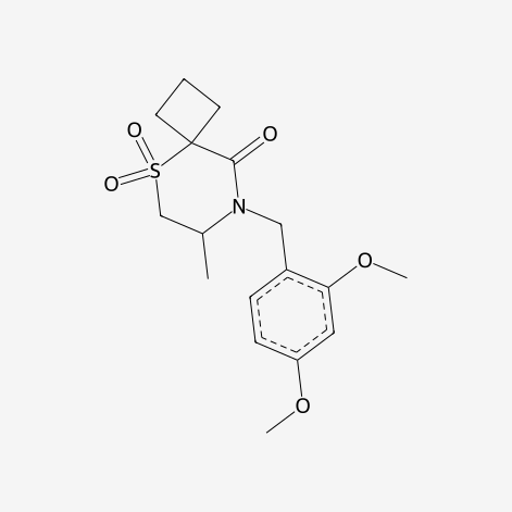 COc1ccc(CN2C(=O)C3(CCC3)S(=O)(=O)CC2C)c(OC)c1